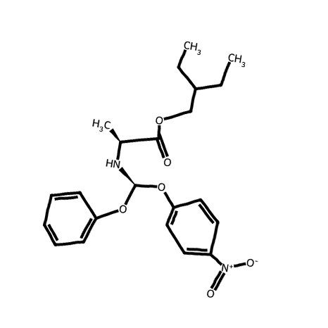 CCC(CC)COC(=O)[C@H](C)N[C@H](Oc1ccccc1)Oc1ccc([N+](=O)[O-])cc1